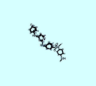 CN[C@H]1CC[C@H](N(C)S(=O)(=O)c2ccc(Nc3nccc(Nc4ccc(F)cc4)n3)cc2)CC1